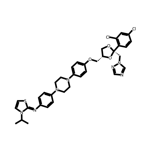 CC(C)n1ccsc1=Nc1ccc(N2CCN(c3ccc(OC[C@@H]4CO[C@@](Cn5cncn5)(c5ccc(Cl)cc5Cl)O4)cc3)CC2)cc1